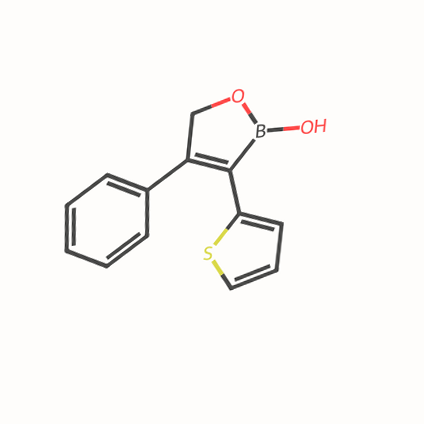 OB1OCC(c2ccccc2)=C1c1cccs1